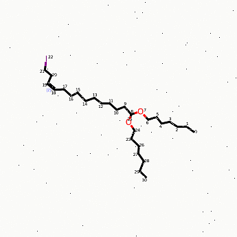 CCCCCCCOC(CCCCCCCCC/C=C\CCI)OCCCCCCC